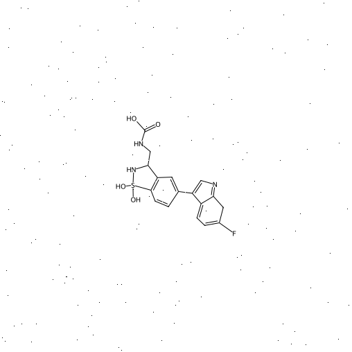 O=C(O)NCC1NS(O)(O)c2ccc(C3=CN=C4CC(F)=CC=C34)cc21